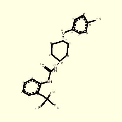 O=C(Nc1ccccc1C(F)(F)F)N[C@H]1CC[C@@H](Oc2ccc(F)cc2)CC1